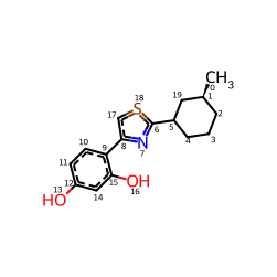 C[C@H]1CCCC(c2nc(-c3ccc(O)cc3O)cs2)C1